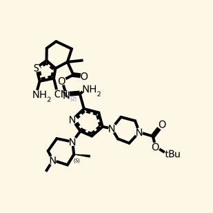 C[C@H]1CN(C)CCN1c1cc(N2CCN(C(=O)OC(C)(C)C)CC2)cc(/C(N)=N/OC(=O)C2(C)CCCc3sc(N)c(C#N)c32)n1